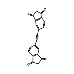 O=C1CC(=O)c2cc(C#Cc3ccc4c(c3)C(=O)CC4=O)ccc21